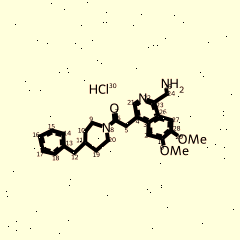 COc1cc2c(CC(=O)N3CCC(Cc4ccccc4)CC3)cnc(CN)c2cc1OC.Cl